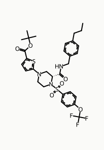 CCCc1ccc(CNC(=O)[C@H]2CN(c3ccc(C(=O)OC(C)(C)C)s3)CCN2S(=O)(=O)c2ccc(OC(F)(F)F)cc2)cc1